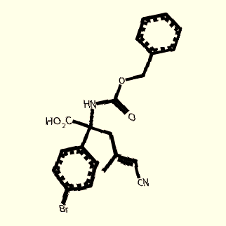 CC(=CC#N)CC(NC(=O)OCc1ccccc1)(C(=O)O)c1ccc(Br)cc1